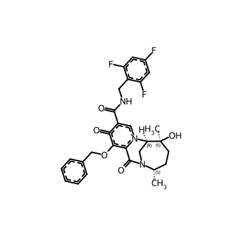 C[C@H]1CC[C@](C)(O)[C@H]2CN1C(=O)c1c(OCc3ccccc3)c(=O)c(C(=O)NCc3c(F)cc(F)cc3F)cn12